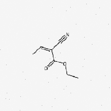 CC=C(C#N)C(=O)OCC